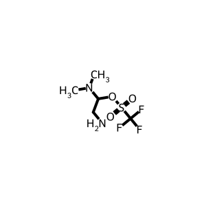 CN(C)C(CN)OS(=O)(=O)C(F)(F)F